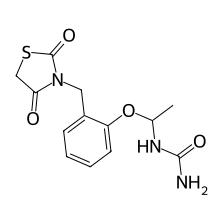 CC(NC(N)=O)Oc1ccccc1CN1C(=O)CSC1=O